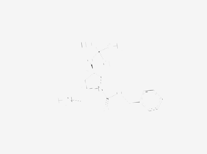 CC(C)(C)O[C@@H]1C[C@@H](CN)N(C(=O)OCc2ccccc2)C1